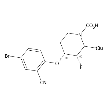 CC(C)(C)C1[C@H](F)[C@H](Oc2ccc(Br)cc2C#N)CCN1C(=O)O